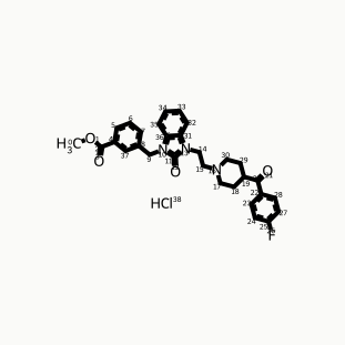 COC(=O)c1cccc(Cn2c(=O)n(CCN3CCC(C(=O)c4ccc(F)cc4)CC3)c3ccccc32)c1.Cl